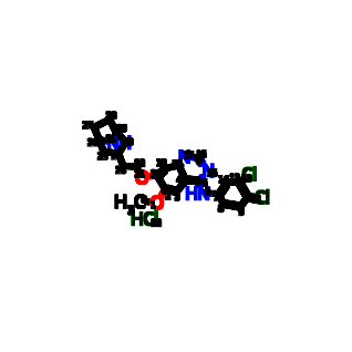 COc1cc2c(Nc3ccc(Cl)c(Cl)c3)ncnc2cc1OCCC1CC2CCC(C1)N2.Cl